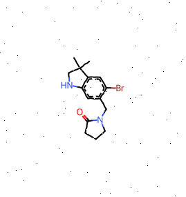 CC1(C)CNc2cc(CN3CCCC3=O)c(Br)cc21